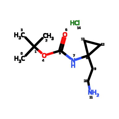 CC(C)(C)OC(=O)NC1(CCN)CC1.Cl